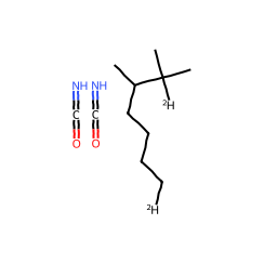 N=C=O.N=C=O.[2H]CCCCC(C)C([2H])(C)C